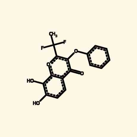 CC(F)(F)c1oc2c(O)c(O)ccc2c(=O)c1Oc1ccccc1